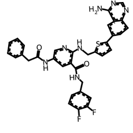 Nc1ncnc2ccc(-c3ccc(CNc4ncc(NC(=O)Cc5ccccc5)cc4C(=O)NCc4ccc(F)c(F)c4)s3)cc12